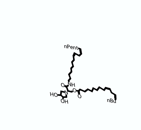 CCCC/C=C\C/C=C\CCCCCCCCC(=O)OCC(C(=O)NCCCCCCCC/C=C\C/C=C\CCCCC)N1CC(O)C(O)C1